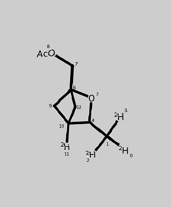 [2H]C([2H])([2H])C1OC2(COC(C)=O)CC1([2H])C2